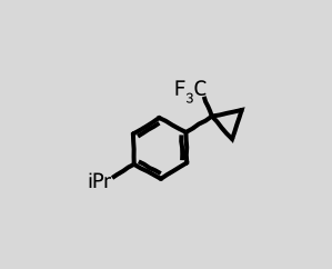 CC(C)c1ccc(C2(C(F)(F)F)CC2)cc1